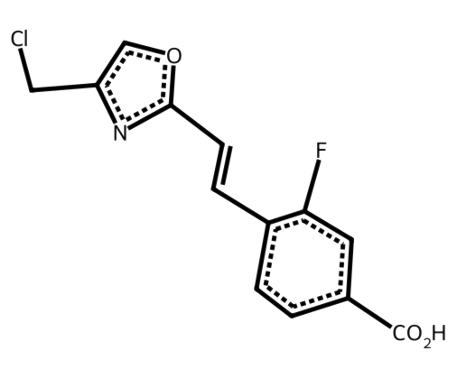 O=C(O)c1ccc(/C=C/c2nc(CCl)co2)c(F)c1